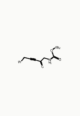 CC(C)CC#CC(=O)CNC(=O)OC(C)(C)C